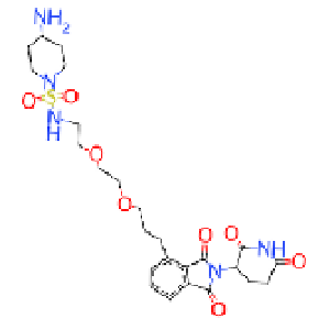 NC1CCN(S(=O)(=O)NCCOCCOCCCc2cccc3c2C(=O)N(C2CCC(=O)NC2=O)C3=O)CC1